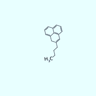 CCCCC1=Cc2cccc3cccc(c23)C1